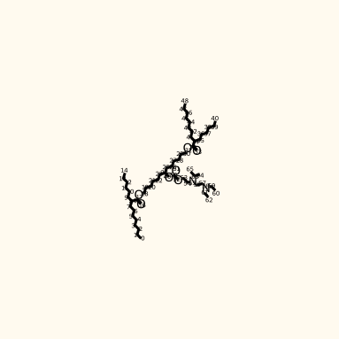 CCCCCCCCC(CCCCCC)C(=O)OCCCCCCC(CCCCCCOC(=O)C(CCCCCC)CCCCCCCC)OC(=O)OCCN(CCN(CC)CC)C(C)C